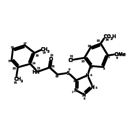 COc1cc(-n2nnnc2SCC(=O)Nc2c(C)cccc2C)c(Cl)cc1C(=O)O